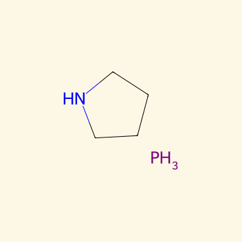 C1CCNC1.P